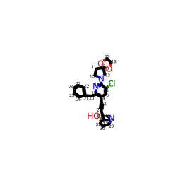 O[C@]1(C#Cc2cc(Cl)c(N3CCC4(C3)OCCO4)nc2Cc2ccccc2)CN2CCC1CC2